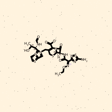 CCO/N=C(\C(=O)N[C@@H]1C(=O)N2C(C(=O)[O-])=C(Cn3cc4scc[n+]4c3[C@@H](NC=O)[C@H](C)O)CS[C@H]12)c1nsc(N)n1